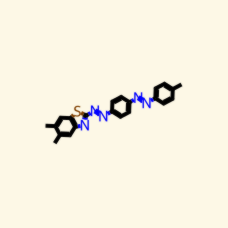 Cc1ccc(N=Nc2ccc(N=Nc3nc4cc(C)c(C)cc4s3)cc2)cc1